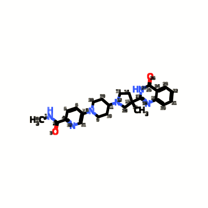 CNC(=O)c1ccc(N2CCC(N3CCC(C)(c4nc5ccccc5c(=O)[nH]4)C3)CC2)cn1